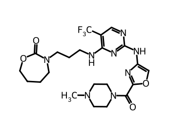 CN1CCN(C(=O)c2nc(Nc3ncc(C(F)(F)F)c(NCCCN4CCCCOC4=O)n3)co2)CC1